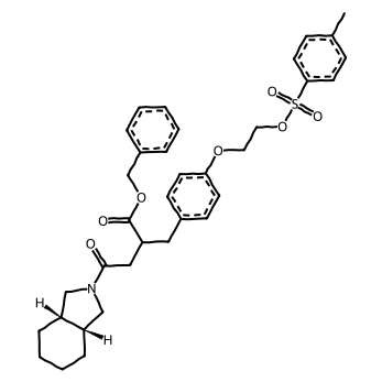 Cc1ccc(S(=O)(=O)OCCOc2ccc(CC(CC(=O)N3C[C@H]4CCCC[C@H]4C3)C(=O)OCc3ccccc3)cc2)cc1